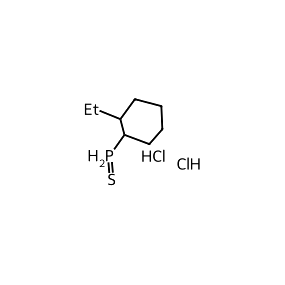 CCC1CCCCC1[PH2]=S.Cl.Cl